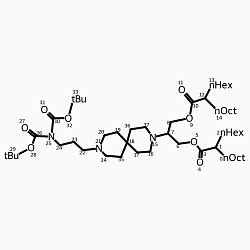 CCCCCCCCC(CCCCCC)C(=O)OCC(COC(=O)C(CCCCCC)CCCCCCCC)N1CCC2(CCN(CCCN(C(=O)OC(C)(C)C)C(=O)OC(C)(C)C)CC2)CC1